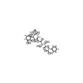 O=C(O)C(OC(=O)[C@H](O)[C@@H](O)C(=O)OC1=CC[C@]2(O)[C@H]3CCC[C@]24c2c(ccc(O)c2O[C@H]14)C3)c1ccccc1